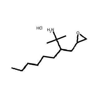 CCCCCCC(CC1CO1)C(C)(C)N.Cl